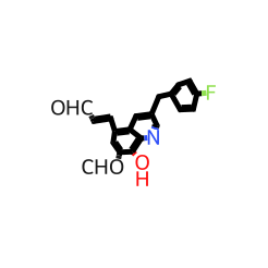 O=C/C=C/c1cc(C=O)c(O)c2ncc(Cc3ccc(F)cc3)cc12